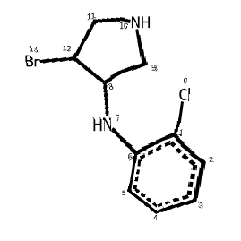 Clc1ccccc1NC1CNCC1Br